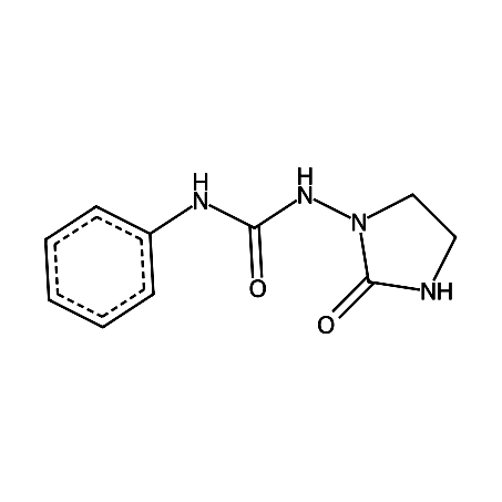 O=C(Nc1ccccc1)NN1CCNC1=O